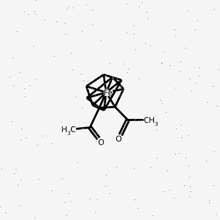 CC(=O)[C]12[CH]3[CH]4[CH]5[C]1(C(C)=O)[Fe]43521678[CH]2[CH]1[CH]6[CH]7[CH]28